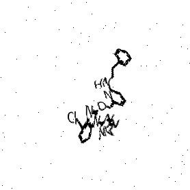 Cn1nnnc1-n1c(OCc2cccc(NCCc3ccccc3)n2)nc2c(Cl)cccc21